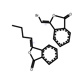 CCC/C=C1\OC(=O)c2ccccc21.O=C1O/C(=C\Br)c2ccccc21